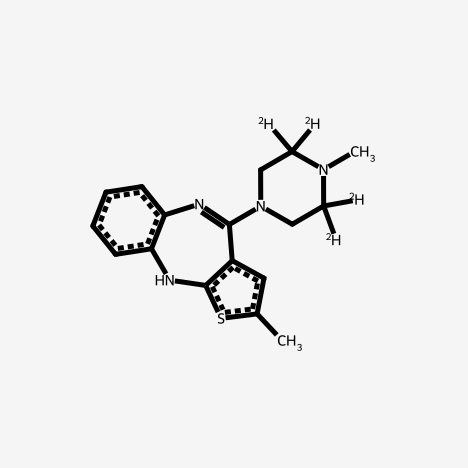 [2H]C1([2H])CN(C2=Nc3ccccc3Nc3sc(C)cc32)CC([2H])([2H])N1C